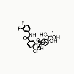 C[C@H](O)[C@@H](O)[C@]1(O)C2C[C@H](S(=O)(=O)c3cc(C(=O)Nc4ccc(F)c(F)c4)ccc3Cl)CC1[C@@H]2C